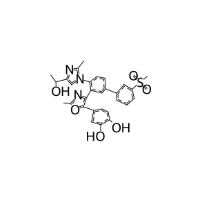 Cc1nc(-c2cc(-c3cccc(S(C)(=O)=O)c3)ccc2-n2cc(C(C)O)nc2C)c(-c2ccc(O)c(O)c2)o1